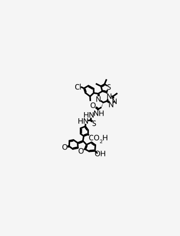 Cc1sc2c(c1C)C(C1C=CC(Cl)=CC1C)=N[C@@H](CC(=O)NNC(=S)Nc1ccc(-c3c4ccc(=O)cc-4oc4cc(O)ccc34)c(C(=O)O)c1)c1nnc(C)n1-2